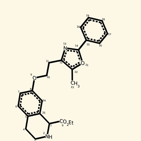 CCOC(=O)C1NCCc2ccc(OCCc3nc(-c4ccccc4)oc3C)cc21